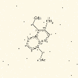 CC(=O)OCc1cccc2c(COC(C)=O)c(C)ccc12